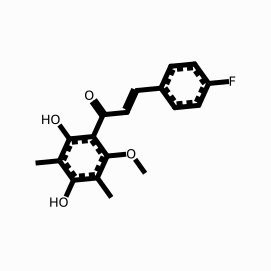 COc1c(C)c(O)c(C)c(O)c1C(=O)C=Cc1ccc(F)cc1